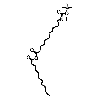 CCCCCCCCCCC(=O)OC(=O)CCCCCCCCCCNC(=O)OC(C)(C)C